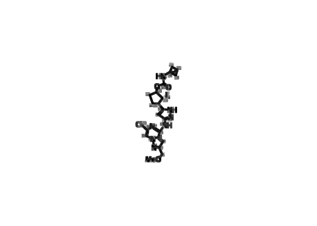 COCc1cc2c(Nc3cc([C@H]4CC[C@@H](OC(=O)NC56CC(C5)C6)[C@@H]4F)[nH]n3)nc(Cl)cn2n1